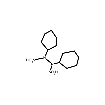 O=S(=O)(O)N(C1CCCCC1)N(C1CCCCC1)S(=O)(=O)O